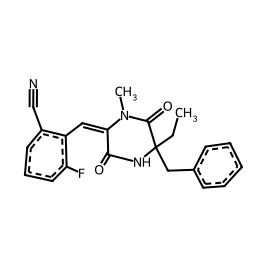 CCC1(Cc2ccccc2)NC(=O)C(=Cc2c(F)cccc2C#N)N(C)C1=O